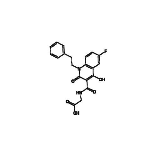 O=C(O)CNC(=O)c1c(O)c2cc(F)ccc2n(CCc2ccccc2)c1=O